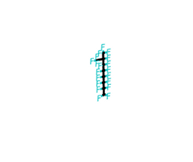 F[C](F)C(F)(F)C(F)(F)C(F)(F)C(F)(F)C(F)(F)C(F)(C(F)(F)F)C(F)(F)F